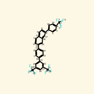 FC(F)(F)c1ccc(-c2ccc3ccc(-c4ccc(-c5cc(C(F)(F)F)cc(C(F)(F)F)c5)cc4)cc3c2)cc1